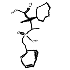 CC(C(C)(C(=O)O)C1CCCCC1)P(=O)(O)Cc1ccccc1